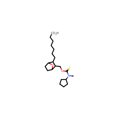 CN(C(=S)OCC1C2CCC(O2)C1CCCCCCC(=O)O)C1CCCC1